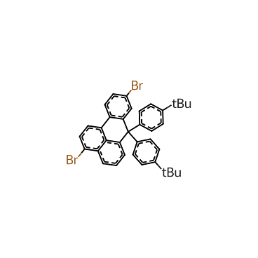 CC(C)(C)c1ccc(C2(c3ccc(C(C)(C)C)cc3)c3cc(Br)ccc3-c3ccc(Br)c4cccc2c34)cc1